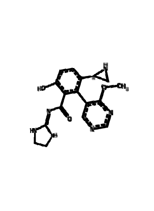 COc1ncncc1-c1c([C@@H]2CN2)ccc(O)c1C(=O)N=C1NCCN1